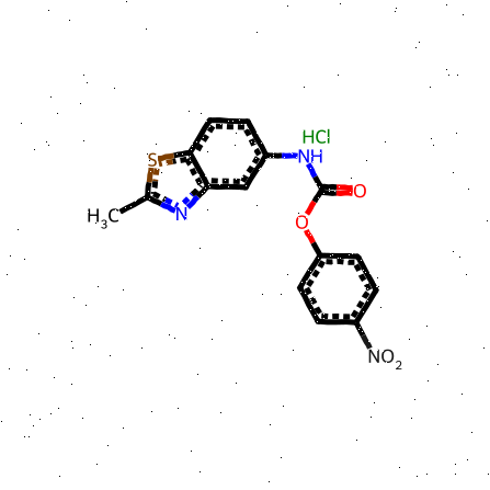 Cc1nc2cc(NC(=O)Oc3ccc([N+](=O)[O-])cc3)ccc2s1.Cl